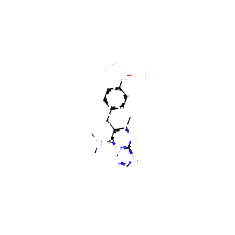 Cc1nc2ncnn2c(N(C)C)c1Cc1ccc(B(O)O)cc1